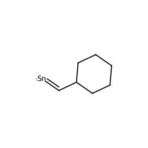 [Sn]=[CH]C1CCCCC1